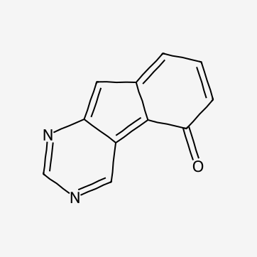 O=C1C=CC=C2C=c3ncncc3=C12